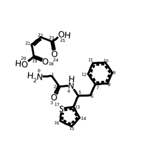 NCC(=O)NC(Cc1ccccc1)c1cccs1.O=C(O)/C=C\C(=O)O